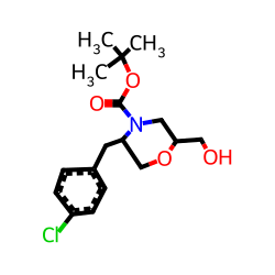 CC(C)(C)OC(=O)N1CC(CO)OCC1Cc1ccc(Cl)cc1